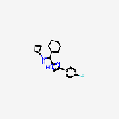 Fc1ccc(-c2c[nH]c(C(NC3CCC3)C3CCCCC3)n2)cc1